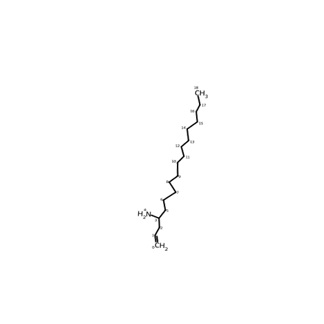 C=CCC(N)CCCCCCCCCCCCCC